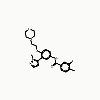 Cc1ccc(C(=O)Nc2ccc(OCCN3CCOCC3)c(-c3ccnn3C)c2)cc1F